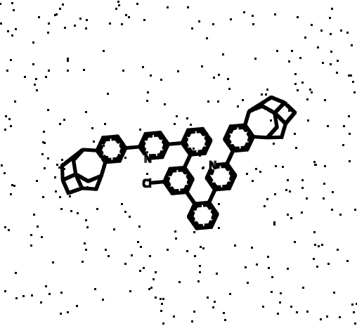 Clc1cc(-c2ccccc2-c2ccc(-c3ccc4c(c3)C3CC5CC6CC4CC65C3)nc2)cc(-c2ccccc2-c2ccc(-c3ccc4c(c3)C3CC5CC6CC4CC65C3)nc2)c1